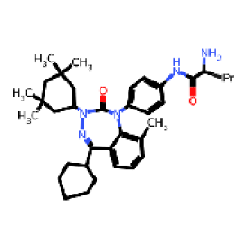 Cc1cccc2c1N(c1ccc(NC(=O)C(N)C(C)C)cc1)C(=O)N(C1CC(C)(C)CC(C)(C)C1)N=C2C1CCCCC1